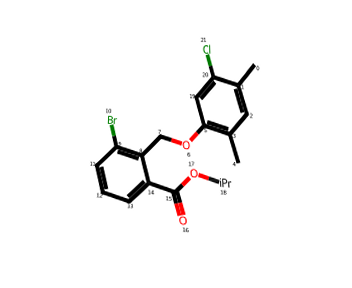 Cc1cc(C)c(OCc2c(Br)cccc2C(=O)OC(C)C)cc1Cl